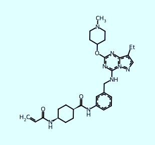 C=CC(=O)N[C@H]1CC[C@@H](C(=O)Nc2cccc(CNc3nc(OC4CCN(C)CC4)nc4c(CC)cnn34)c2)CC1